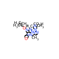 CC(Nc1ncnc2c1c(C1=CCOCC1)cn2COCC[Si](C)(C)C)c1ccnc(N2C[C@@H](C)N(C(=O)O)[C@@H](C)C2)n1